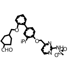 CC(C)c1cc(-c2ccccc2OCC2CCC(C=O)CC2)ccc1OCc1ccnc(NS(C)(=O)=O)n1